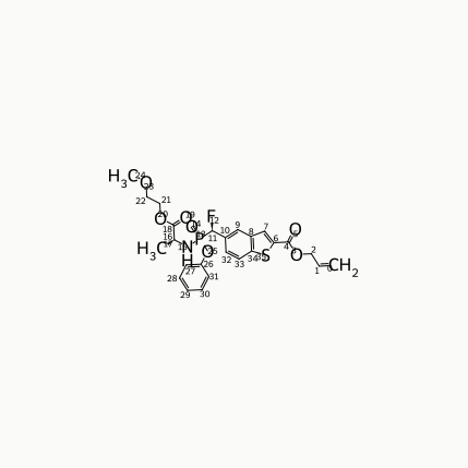 C=CCOC(=O)c1cc2cc([C@H](F)P(=O)(N[C@@H](C)C(=O)OCCOC)Oc3ccccc3)ccc2s1